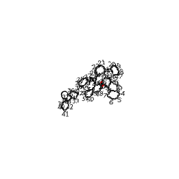 CC1(C)c2ccccc2-c2ccc(-c3c(-c4ccccc4)cccc3N(c3cccc(-c4ccc5c(c4)oc4ccccc45)c3)c3cccc4ccccc34)cc21